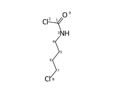 O=C(Cl)NCCCCCl